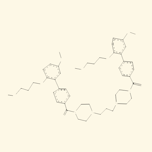 COCCCOc1ccc(OC)cc1-c1ccc(C(=O)N2CCN(CCCN3CCN(C(=O)c4ccc(-c5cc(OC)ccc5OCCCOC)cc4)CC3)CC2)cc1.Cl.Cl